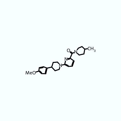 COc1ccc(C2CCN(c3cccc(C(=O)N4CCC(C)CC4)n3)CC2)cc1